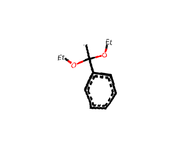 [CH2]C(OCC)(OCC)c1ccccc1